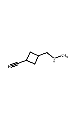 CNCC1CC(C#N)C1